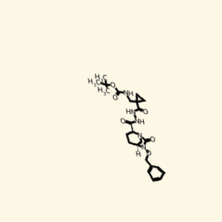 CC(C)(C)OC(=O)NCC1(C(=O)NNC(=O)[C@@H]2CC[C@H]3CN2C(=O)N3OCc2ccccc2)CC1